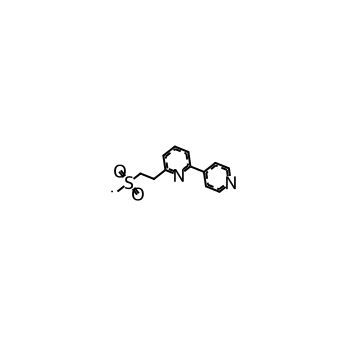 [CH2]S(=O)(=O)CCc1cccc(-c2ccncc2)n1